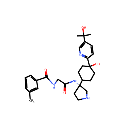 CC(C)(O)c1ccc(C2(O)CCC([C@]3(NC(=O)CNC(=O)c4cccc(C(F)(F)F)c4)CCNC3)CC2)nc1